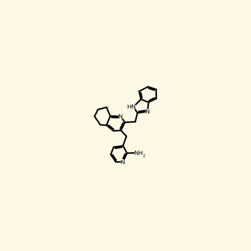 Nc1ncccc1Cc1cc2c(nc1Cc1nc3ccccc3[nH]1)[C]CCC2